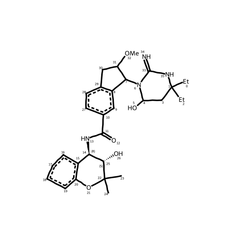 CCC1(CC)CC(O)N(C2c3cc(C(=O)N[C@@H]4c5ccccc5OC(C)(C)[C@H]4O)ccc3CC2OC)C(=N)N1